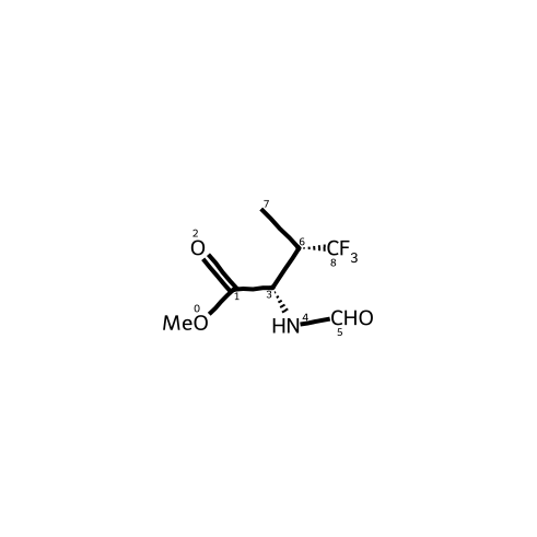 COC(=O)[C@@H](NC=O)[C@H](C)C(F)(F)F